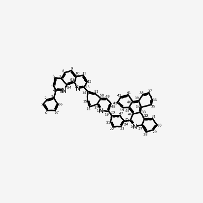 c1ccc(-c2ccc3ccc4ccc(-c5ccc6nc(-c7cccc(-c8nc9ccccc9c9c%10ccccc%10c%10ccccc%10c89)c7)ccc6c5)nc4c3n2)cc1